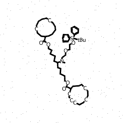 CN(CCOCCO[Si](c1ccccc1)(c1ccccc1)C(C)(C)C)C(CCCCCOC(=O)C1CCCCCCCCCCCCC1)CCCCCOC(=O)C1CCCCCCCCCCCCC1